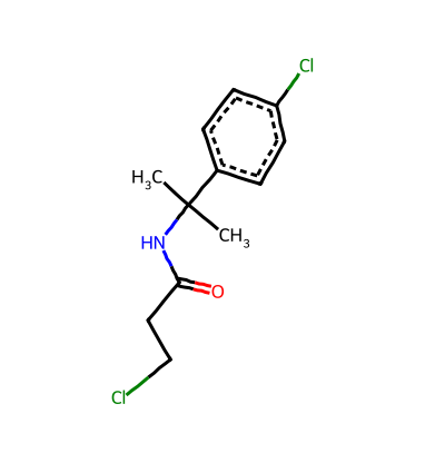 CC(C)(NC(=O)CCCl)c1ccc(Cl)cc1